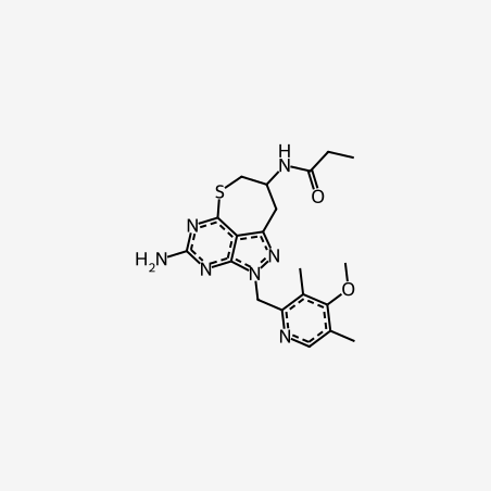 CCC(=O)NC1CSc2nc(N)nc3c2c(nn3Cc2ncc(C)c(OC)c2C)C1